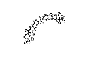 CCC(C)(CC)c1cccc(N2C(=O)c3ccc(Oc4ccc(C(C)(C)c5ccc(Oc6ccc7c(c6)C(=O)N(C(C)(C)CC)C7=O)cc5)cc4)cc3C2=O)c1